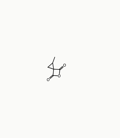 CC1CC12C(=O)OC2=O